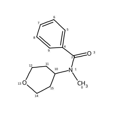 CN(C(=O)c1ccccc1)C1CCOCC1